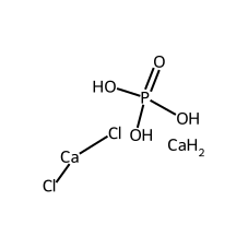 O=P(O)(O)O.[CaH2].[Cl][Ca][Cl]